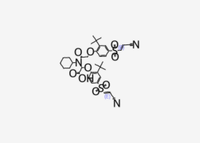 CC(C)(C)c1cc(S(=O)(=O)/C=C/C#N)ccc1OCC(=O)N(C1CCCCC1)C(Oc1ccc(S(=O)(=O)/C=C/C#N)cc1C(C)(C)C)C(=O)O